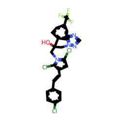 OC(Cn1cncn1)(Cn1c(Cl)cc(/C=C/c2ccc(Cl)cc2)c1Cl)c1ccc(C(F)(F)F)cc1